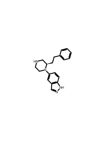 c1ccc(CC[C@@H]2CNCCN2c2ccc3[nH]ncc3c2)cc1